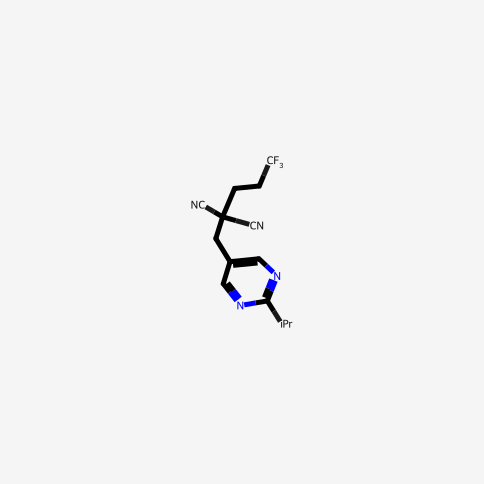 CC(C)c1ncc(CC(C#N)(C#N)CCC(F)(F)F)cn1